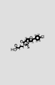 O=C(O)CCCN1C(=O)c2cc3oc(-c4ccc(Cl)cc4)cc3n2C1=S